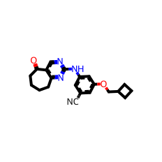 N#Cc1cc(Nc2ncc3c(n2)CCCCC3=O)cc(OCC2CCC2)c1